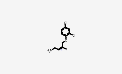 NC/C=C(/F)COc1ccc(Cl)cc1Cl